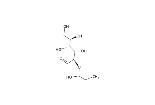 CCC(O)O[C@@H](C=O)[C@@H](O)[C@H](O)[C@H](O)CO